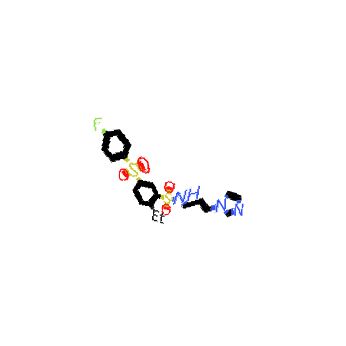 CCc1ccc(S(=O)(=O)c2ccc(F)cc2)cc1S(=O)(=O)NCCCn1ccnc1